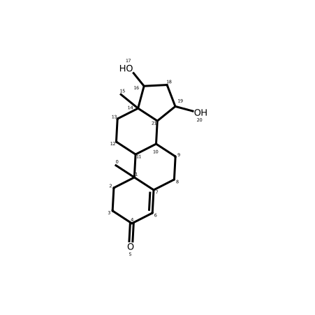 CC12CCC(=O)C=C1CCC1C2CCC2(C)C(O)CC(O)C12